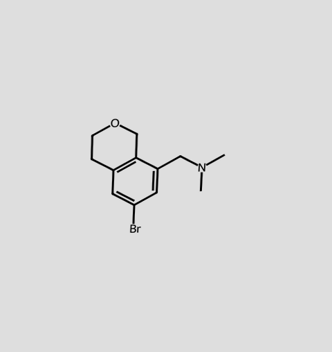 CN(C)Cc1cc(Br)cc2c1COCC2